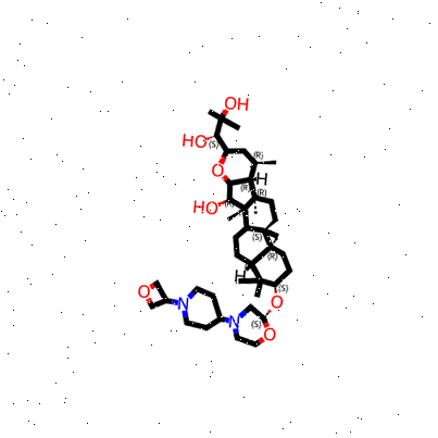 C[C@@H]1CC([C@H](O)C(C)(C)O)OC2[C@H]1[C@@]1(C)CC[C@@]34C[C@@]35CC[C@H](O[C@H]3CN(C6CCN(C7COC7)CC6)CCO3)C(C)(C)[C@@H]5CCC4[C@]1(C)[C@H]2O